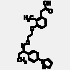 CCC(=NOCCOc1cccc(CC(=O)O)c1C)c1ccc(-n2cccn2)cc1